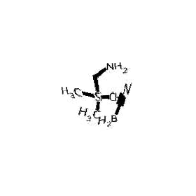 BC#N.C[Si](C)(C)CN